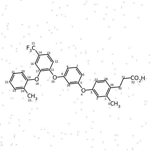 Cc1cc(Oc2cccc(Oc3ccc(C(F)(F)F)cc3Oc3ccccc3C)c2)ccc1CCC(=O)O